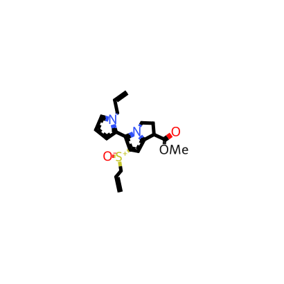 C=CCn1cccc1-c1c([S+]([O-])CC=C)cc2n1CCC2C(=O)OC